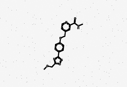 CNC(=O)c1cc(COc2ccc(-c3noc(COC)n3)cc2)ccn1